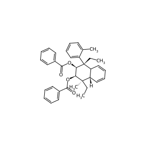 CC[C@]1(C)[C@H]2C=CC=CC2[C@@](CC)(c2ccccc2C)[C@H](OC(=O)c2ccccc2)[C@@H]1OC(=O)c1ccccc1